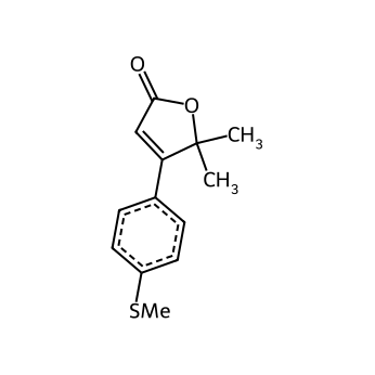 CSc1ccc(C2=CC(=O)OC2(C)C)cc1